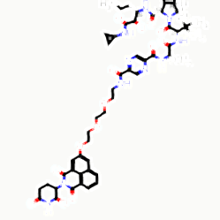 CCC[C@H](NC(=O)[C@@H]1C2CCC[C@H]2CN1C(=O)[C@@H](NC(=O)[C@H](C)NC(=O)c1cnc(C(=O)NCCOCCOCCOc2cc3c4c(cccc4c2)C(=O)N(C2CCC(=O)NC2=O)C3=O)cn1)C(C)(C)C)C(=O)C(=O)NC1CC1